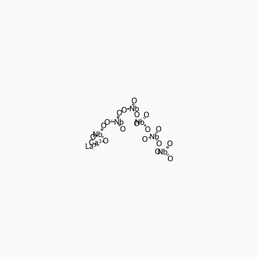 [Ga+3].[La+3].[O]=[Nb](=[O])[O-].[O]=[Nb](=[O])[O-].[O]=[Nb](=[O])[O-].[O]=[Nb](=[O])[O-].[O]=[Nb](=[O])[O-].[O]=[Nb](=[O])[O-]